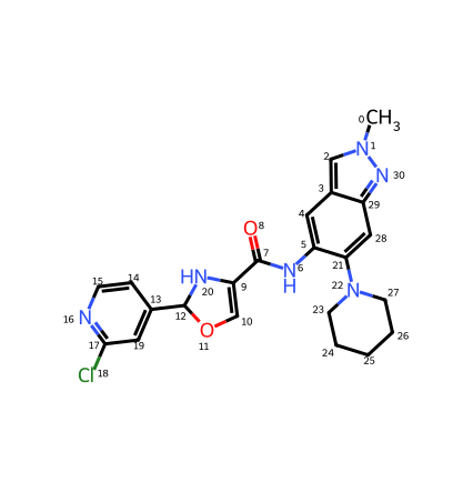 Cn1cc2cc(NC(=O)C3=COC(c4ccnc(Cl)c4)N3)c(N3CCCCC3)cc2n1